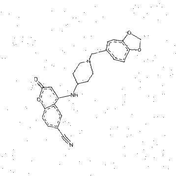 N#Cc1ccc2oc(=O)cc(NC3CCN(Cc4ccc5c(c4)OCO5)CC3)c2c1